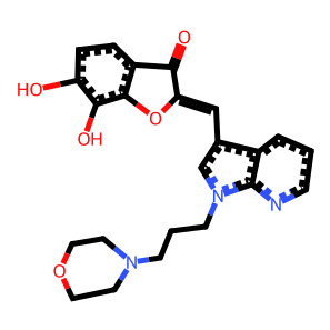 O=C1C(=Cc2cn(CCCN3CCOCC3)c3ncccc23)Oc2c1ccc(O)c2O